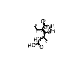 CCc1c(C(C)NC(=O)O)[nH][nH]c1=O